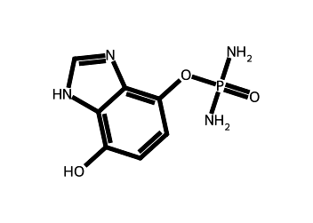 NP(N)(=O)Oc1ccc(O)c2[nH]cnc12